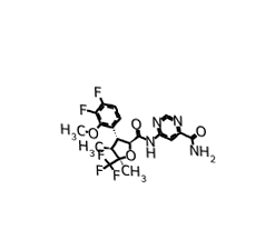 COc1c([C@@H]2[C@@H](C(=O)Nc3cc(C(N)=O)ncn3)O[C@@](C)(C(F)(F)F)[C@H]2C)ccc(F)c1F